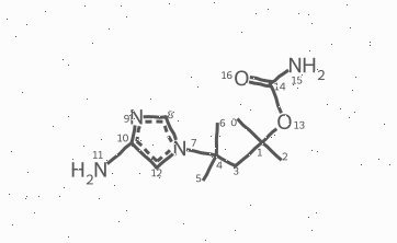 CC(C)(CC(C)(C)n1cnc(N)c1)OC(N)=O